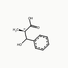 C[C@@H](C(=O)O)C(O)c1ccccc1